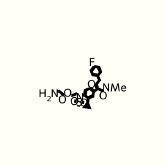 CNC(=O)c1c(Cc2ccc(F)cc2)oc2cc(N(CCOC(=O)CN)S(C)(=O)=O)c(C3CC3)cc12